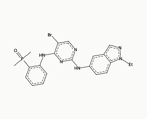 CCn1ncc2cc(Nc3ncc(Br)c(Nc4ccccc4P(C)(C)=O)n3)ccc21